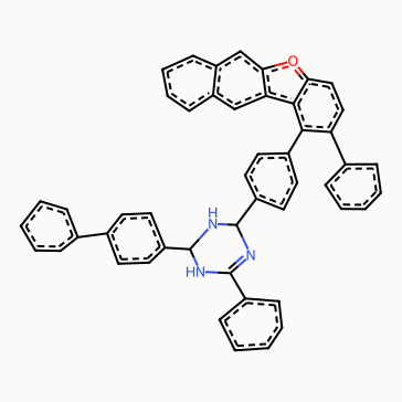 c1ccc(C2=NC(c3ccc(-c4c(-c5ccccc5)ccc5oc6cc7ccccc7cc6c45)cc3)NC(c3ccc(-c4ccccc4)cc3)N2)cc1